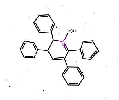 CCCCCCCC[PH]1=C(c2ccccc2)C(c2ccccc2)=CC(c2ccccc2)C1c1ccccc1